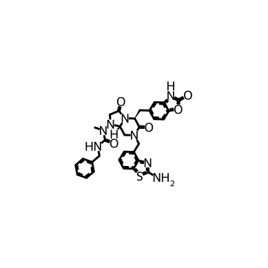 CN(C(=O)NCc1ccccc1)N1CC(=O)N2[C@@H](Cc3ccc4oc(=O)[nH]c4c3)C(=O)N(Cc3cccc4sc(N)nc34)C[C@@H]21